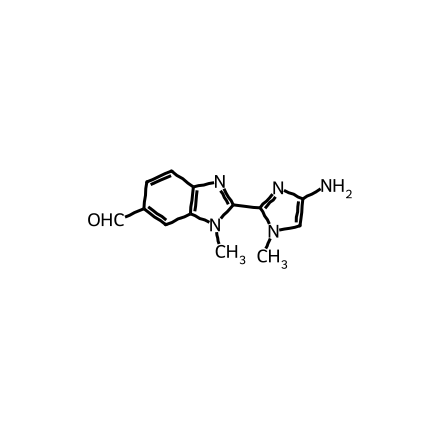 Cn1cc(N)nc1-c1nc2ccc(C=O)cc2n1C